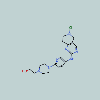 OCCN1CCN(c2ccc(Nc3ncc4c(n3)CCN(Cl)C4)cn2)CC1